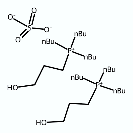 CCCC[P+](CCCC)(CCCC)CCCO.CCCC[P+](CCCC)(CCCC)CCCO.O=S(=O)([O-])[O-]